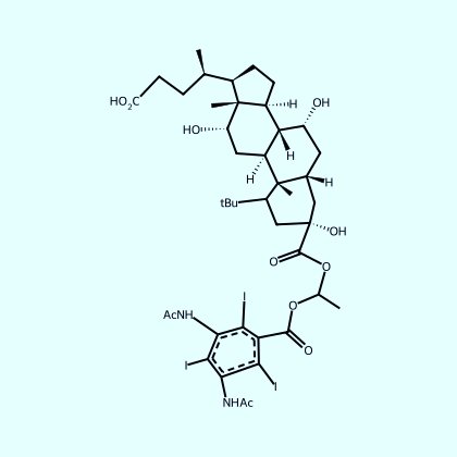 CC(=O)Nc1c(I)c(NC(C)=O)c(I)c(C(=O)OC(C)OC(=O)[C@@]2(O)CC(C(C)(C)C)[C@@]3(C)[C@H](C[C@@H](O)[C@@H]4[C@@H]3C[C@H](O)[C@]3(C)[C@@H]([C@H](C)CCC(=O)O)CC[C@@H]43)C2)c1I